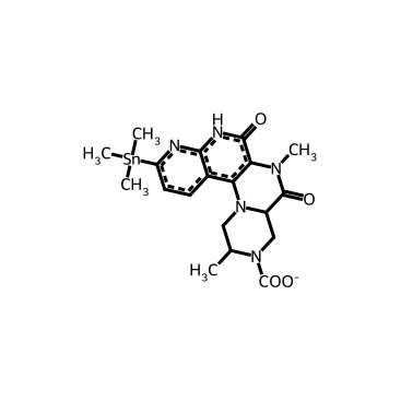 CC1CN2c3c(c(=O)[nH]c4n[c]([Sn]([CH3])([CH3])[CH3])ccc34)N(C)C(=O)C2CN1C(=O)[O-]